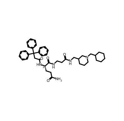 NC(=O)CC[C@@H](NC(=O)CC(c1ccccc1)(c1ccccc1)c1ccccc1)C(=O)NCCC(=O)NCC1CCCN(CC2CCCCC2)C1